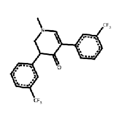 CN1C=C(c2cccc(C(F)(F)F)c2)C(=O)C(c2cccc(C(F)(F)F)c2)C1